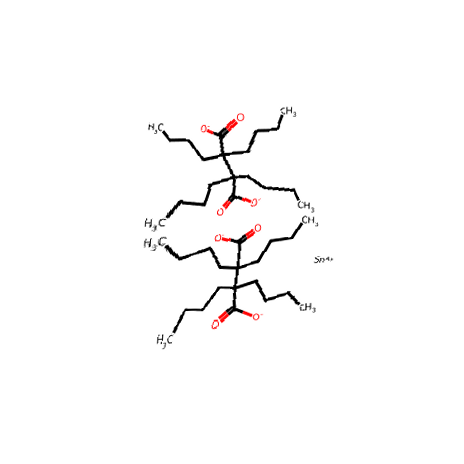 CCCCC(CCCC)(C(=O)[O-])C(CCCC)(CCCC)C(=O)[O-].CCCCC(CCCC)(C(=O)[O-])C(CCCC)(CCCC)C(=O)[O-].[Sn+4]